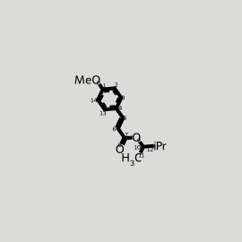 COc1ccc(C=CC(=O)OC(C)C(C)C)cc1